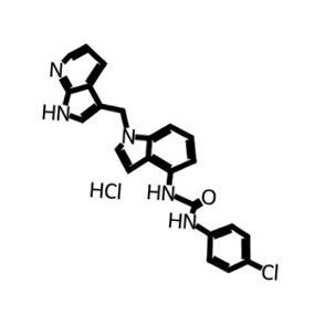 Cl.O=C(Nc1ccc(Cl)cc1)Nc1cccc2c1ccn2Cc1c[nH]c2ncccc12